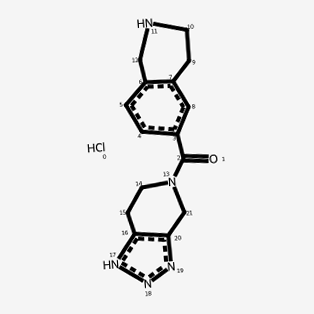 Cl.O=C(c1ccc2c(c1)CCNC2)N1CCc2[nH]nnc2C1